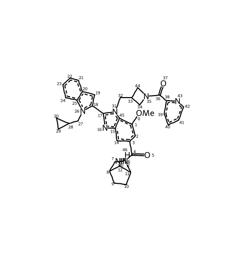 COc1cc(C(=O)N2CC3CCC2[C@@H]3N)cc2nc(-c3cc4ccccc4n3CC3CC3)n(CC3CN(C(=O)c4ccccn4)C3)c12